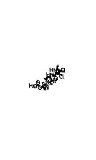 Cc1[nH]c(C(=O)N[C@@H]2CCN(c3ncc(OC(=O)O)s3)C[C@@H]2F)c(Cl)c1Cl